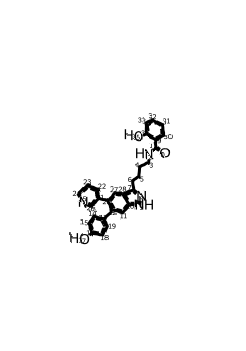 O=C(NCCCCc1n[nH]c2cc(-c3ccc(O)cc3)c(-c3cccnc3)cc12)c1ccccc1O